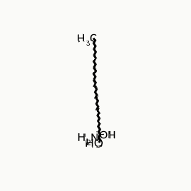 CCCCCCCCCCCCCCCCCCCCCCCCCCCCCCCCC[C@@H](O)[C@@H](N)CO